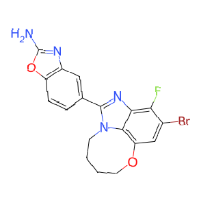 Nc1nc2cc(-c3nc4c(F)c(Br)cc5c4n3CCCCO5)ccc2o1